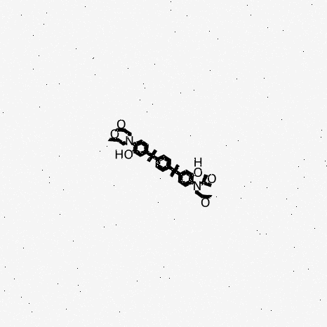 CC(C)(c1ccc(C(C)(C)c2ccc(N(CC3CO3)C3COC3)c(O)c2)cc1)c1ccc(N(CC2CO2)CC2CO2)c(O)c1